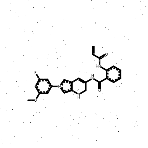 C=CC(=O)Nc1ccccc1C(=O)NC1=Cc2cn(-c3cc(F)cc(OC)c3)cc2NC1